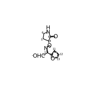 O=[C]C(=NOC1CCNC1=O)c1ccco1